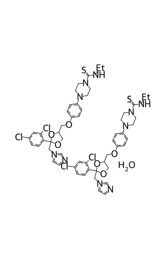 CCNC(=S)N1CCN(c2ccc(OCC3COC(Cn4ccnc4)(c4ccc(Cl)cc4Cl)O3)cc2)CC1.CCNC(=S)N1CCN(c2ccc(OCC3COC(Cn4ccnc4)(c4ccc(Cl)cc4Cl)O3)cc2)CC1.O